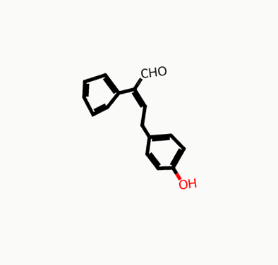 O=CC(=CCc1ccc(O)cc1)c1ccccc1